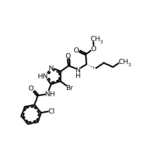 CCCC[C@H](NC(=O)c1n[nH]c(NC(=O)c2ccccc2Cl)c1Br)C(=O)OC